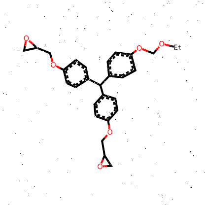 CCOCOc1ccc(C(c2ccc(OCC3CO3)cc2)c2ccc(OCC3CO3)cc2)cc1